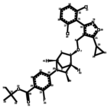 C[C@@H]1[C@@H]2C[C@@H](C[C@H]2OCc2c(-c3c(Cl)cccc3Cl)noc2C2CC2)N1c1ccc(C(=O)OC(C)(C)C)c(F)c1